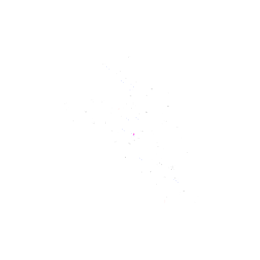 COc1ccc(CN(Cc2ccc(OC)cc2)S(=O)(=O)c2c(S(=O)(=O)C3CN(C(=O)O)C3)ccc(-c3cccc(/C=N/NC(N)=O)c3)c2-c2nnn(Cc3ccc(OC)cc3)n2)cc1